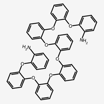 Nc1ccccc1Oc1ccccc1Oc1ccccc1Oc1ccccc1Oc1ccccc1Oc1ccccc1Oc1ccccc1Oc1ccccc1N